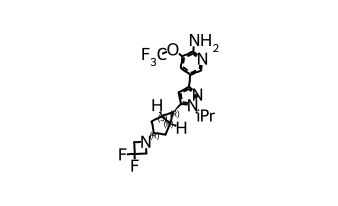 CC(C)n1nc(-c2cnc(N)c(OC(F)(F)F)c2)cc1[C@H]1[C@@H]2C[C@H](N3CC(F)(F)C3)C[C@@H]21